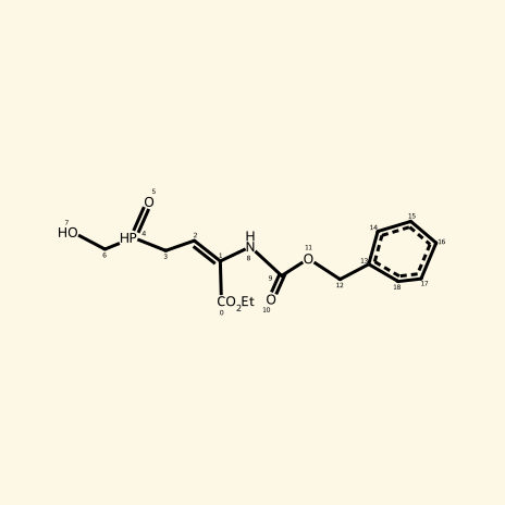 CCOC(=O)/C(=C\C[PH](=O)CO)NC(=O)OCc1ccccc1